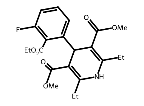 CCOC(=O)c1c(F)cccc1C1C(C(=O)OC)=C(CC)NC(CC)=C1C(=O)OC